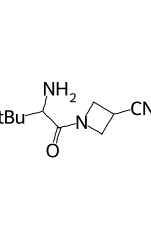 CC(C)(C)C(N)C(=O)N1CC(C#N)C1